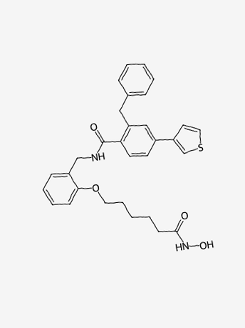 O=C(CCCCCOc1ccccc1CNC(=O)c1ccc(-c2ccsc2)cc1Cc1ccccc1)NO